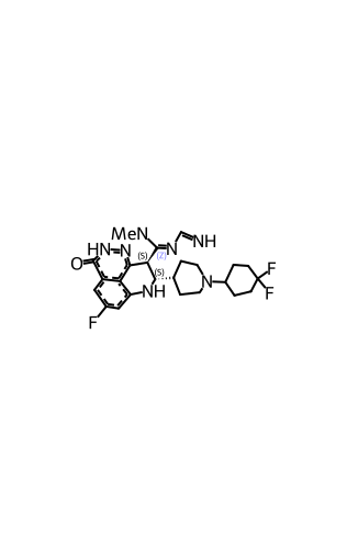 CN/C(=N\C=N)[C@@H]1c2n[nH]c(=O)c3cc(F)cc(c23)N[C@H]1C1CCN(C2CCC(F)(F)CC2)CC1